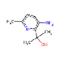 Cc1ccc(N)c(C(C)(C)O)n1